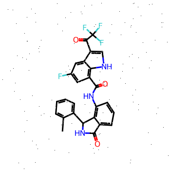 Cc1ccccc1C1NC(=O)c2cccc(NC(=O)c3cc(F)cc4c(C(=O)C(F)(F)F)c[nH]c34)c21